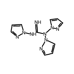 N=C(Nn1cccn1)N(n1cccn1)n1cccn1